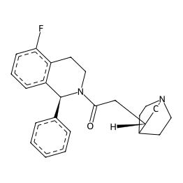 O=C(C[C@@H]1CN2CCC1CC2)N1CCc2c(F)cccc2[C@@H]1c1ccccc1